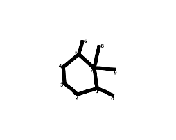 CC1[CH]CCC(C)C1(C)C